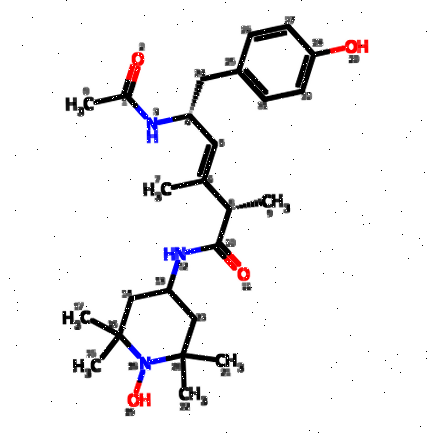 CC(=O)N[C@@H](/C=C(\C)[C@H](C)C(=O)NC1CC(C)(C)N(O)C(C)(C)C1)Cc1ccc(O)cc1